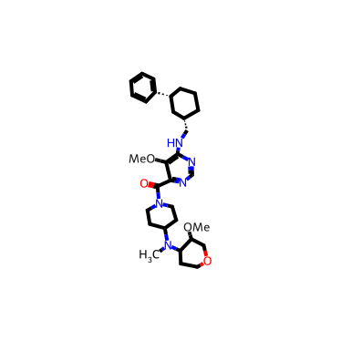 COc1c(NC[C@H]2CCC[C@@H](c3ccccc3)C2)ncnc1C(=O)N1CCC(N(C)C2CCOCC2OC)CC1